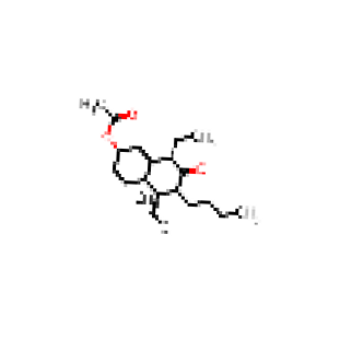 CCCCC1C(=O)[C@H](CC)C2C[C@H](OC(C)=O)CC[C@]2(C)C1CC